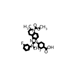 COC(=O)N1c2ccc3c(nc(N(C)c4cccc(F)c4)n3C3CCC(C(=O)O)CC3)c2CC[C@@H]1C